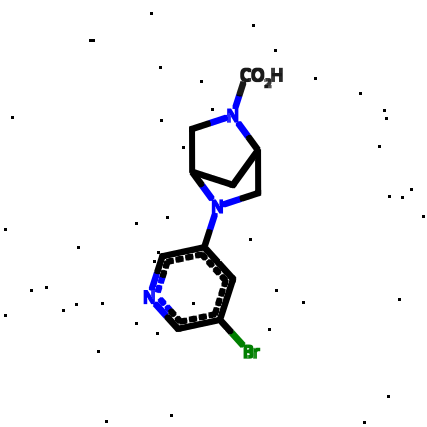 O=C(O)N1CC2CC1CN2c1cncc(Br)c1